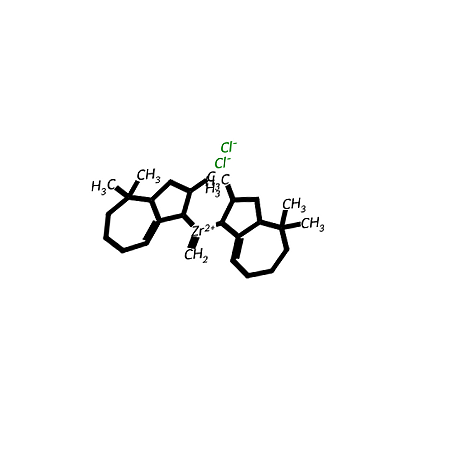 [CH2]=[Zr+2]([CH]1C2=CCCCC(C)(C)C2CC1C)[CH]1C2=CCCCC(C)(C)C2CC1C.[Cl-].[Cl-]